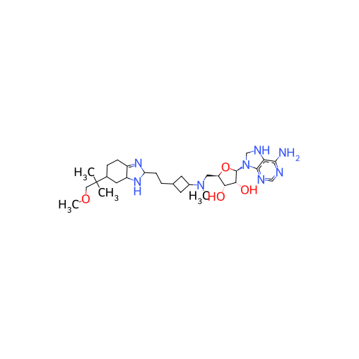 COCC(C)(C)C1CCC2=NC(CCC3CC(N(C)C[C@H]4O[C@@H](N5CNc6c(N)ncnc65)[C@H](O)[C@@H]4O)C3)NC2C1